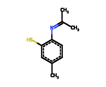 CC(C)=Nc1ccc(C)cc1S